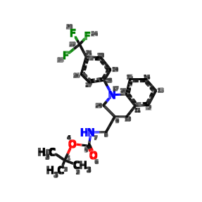 CC(C)(C)OC(=O)NCC1Cc2ccccc2N(c2ccc(C(F)(F)F)cc2)C1